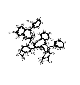 c1ccc(-c2nc(-n3c4cc5c(cc4c4c6c7cc8c(cc7n(-c7ccccc7)c6c6ccccc6c43)CC8)CC5)nc3ccccc23)cc1